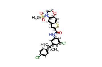 CC(C)(c1ccc(Cl)cc1)c1cc(Cl)cc(NC(=O)c2cc3cc4c(cc3s2)OCCN4S(C)(=O)=O)c1